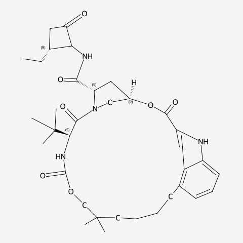 CC[C@@H]1CC(=O)C1NC(=O)[C@@H]1C[C@@H]2CN1C(=O)[C@H](C(C)(C)C)NC(=O)OCC(C)(C)CCCCc1cccc3[nH]c(cc13)C(=O)O2